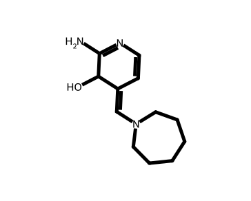 NC1=NC=CC(=CN2CCCCCC2)C1O